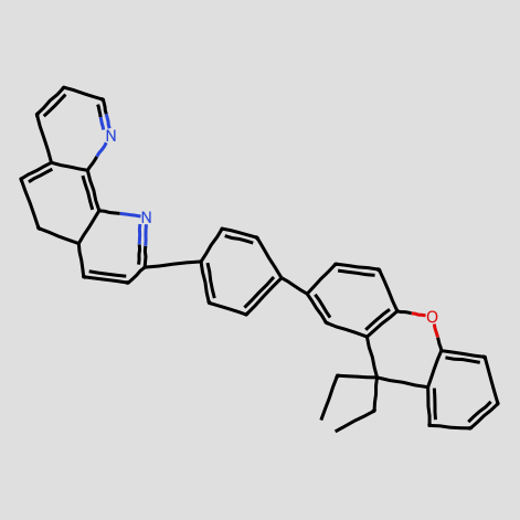 CCC1(CC)c2ccccc2Oc2ccc(-c3ccc(C4=NC5=c6ncccc6=CCC5C=C4)cc3)cc21